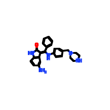 Nc1ccc2c(c1)C(=C(Nc1ccc(CN3CCNCC3)cc1)c1ccccc1)C(=O)N2